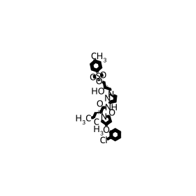 Cc1ccc(S(=O)(=O)OC[C@H](O)Cn2ccc(NC(=O)[C@H](CC(C)C)N3CC(Oc4ccccc4Cl)=CC3=O)n2)cc1